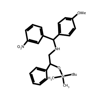 COc1ccc(C(NCC(O[Si](C)(C)C(C)(C)C)c2ccccc2)c2cccc([N+](=O)[O-])c2)cc1